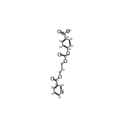 O=C(OCCCOC(=O)c1cccnc1)Oc1ccc([N+](=O)[O-])cc1